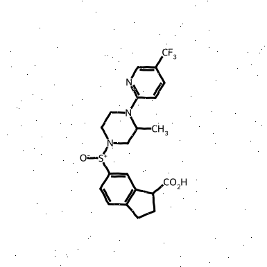 CC1CN([S+]([O-])c2ccc3c(c2)C(C(=O)O)CC3)CCN1c1ccc(C(F)(F)F)cn1